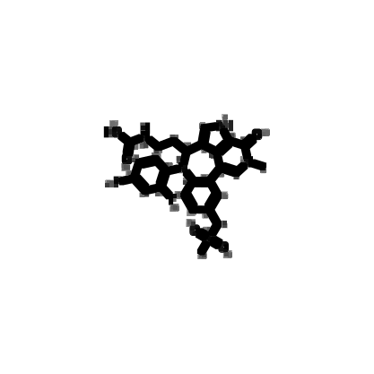 Cn1cc2c3c(c[nH]c3c1=O)C(CCNC(=O)O)N(c1ccc(F)cc1F)c1ccc(CS(C)(=O)=O)cc1-2